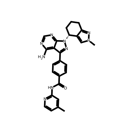 Cc1ccnc(NC(=O)c2ccc(-c3nn([C@@H]4CCCc5nn(C)cc54)c4ncnc(N)c34)cc2)c1